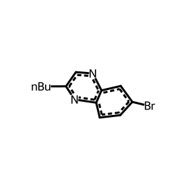 CCCCc1cnc2cc(Br)ccc2n1